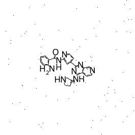 Nc1ccccc1C(=O)Nc1cc(-c2nc(N[C@@H]3CCNC3)c3ccncc3n2)ccn1